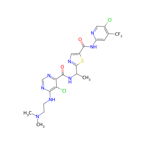 CC(NC(=O)c1ncnc(NCCN(C)C)c1Cl)c1ncc(C(=O)Nc2cc(C(F)(F)F)c(Cl)cn2)s1